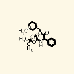 CN1CCC[C@@H](COC(=O)C(NC(=O)OC(C)(C)C)c2ccccc2)C1